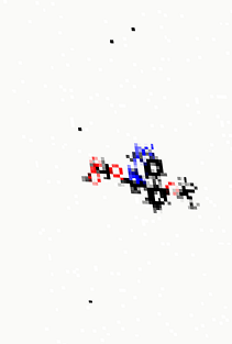 COC(=O)C(C)(C)OCc1cc(-c2cccc(OCC(C)(C)C)c2)n(-c2cccc3nnn(C)c23)n1